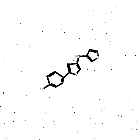 Brc1ccc(-c2cc(Nc3ccsc3)cs2)cc1